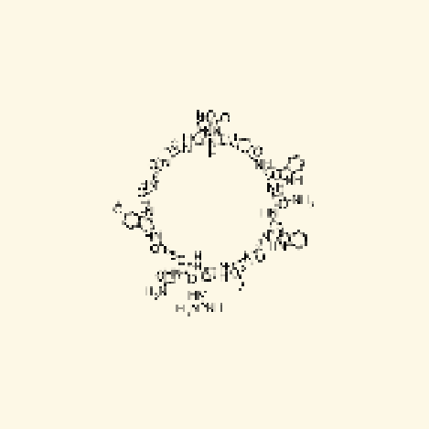 CCCC[C@H]1C(=O)N[C@@H](CCCNC(=N)N)C(=O)N[C@H](C(=O)NCC(N)=O)CSCC(=O)N[C@@H](Cc2ccc(OC)cc2)C(=O)N(C)[C@@H](C)C(=O)NCC(=O)N2CCCC2C(=O)N[C@@H](Cc2cnc[nH]2)C(=O)N[C@@H](CCC(=O)O)C(=O)C2CCCC2C(=O)N[C@@H](Cc2c[nH]c3ccccc23)C(=O)N[C@@H](CCN)C(=O)N[C@@H](Cc2c[nH]c3ccccc23)C(=O)N(C)CC(=O)N1C